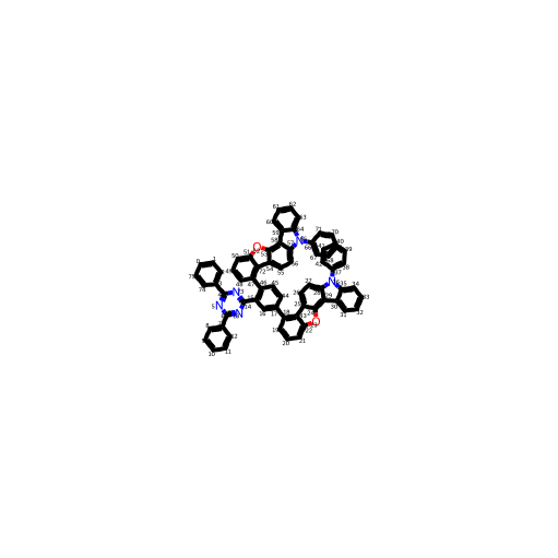 c1ccc(-c2nc(-c3ccccc3)nc(-c3cc(-c4cccc5oc6c(ccc7c6c6ccccc6n7-c6ccccc6)c45)ccc3-c3cccc4oc5c(ccc6c5c5ccccc5n6-c5ccccc5)c34)n2)cc1